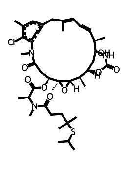 C/C1=C\C=C\[C@@H](C)[C@@]2(O)C[C@H](OC(=O)N2)[C@@H](C)[C@@H]2O[C@@]2(C)[C@@H](OC(=O)[C@H](C)N(C)C(=O)CCC(C)(C)SC(C)C)CC(=O)N(C)c2cc(cc(C)c2Cl)C1